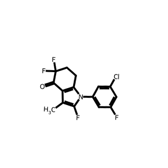 Cc1c2c(n(-c3cc(F)cc(Cl)c3)c1F)CCC(F)(F)C2=O